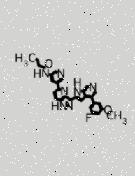 CCCC(=O)Nc1cncc(-c2ccc3[nH]nc(-c4cc5c(-c6cc(F)cc(OC)c6)cncc5[nH]4)c3n2)c1